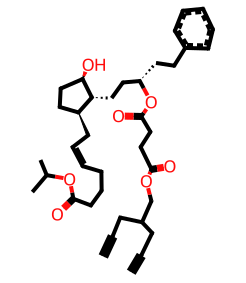 C#CCC(CC#C)COC(=O)CCC(=O)O[C@@H](CCc1ccccc1)CC[C@@H]1[C@@H](C/C=C\CCCC(=O)OC(C)C)CC[C@H]1O